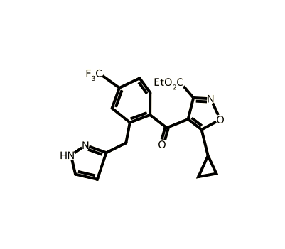 CCOC(=O)c1noc(C2CC2)c1C(=O)c1ccc(C(F)(F)F)cc1Cc1cc[nH]n1